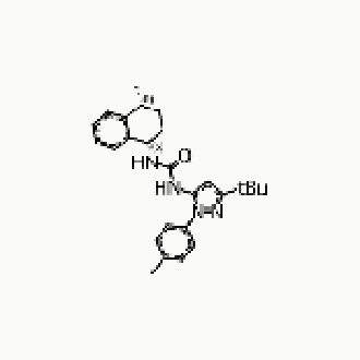 Cc1ccc(-n2nc(C(C)(C)C)cc2NC(=O)N[C@H]2CC[C@@H](C)c3ccccc32)cc1